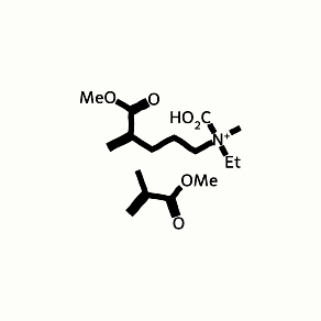 C=C(C)C(=O)OC.C=C(CCC[N+](C)(CC)C(=O)O)C(=O)OC